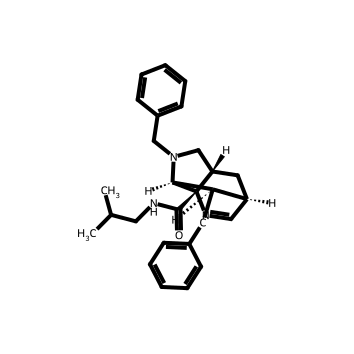 CC(C)CNC(=O)[C@]12N=C[C@@H]3C[C@H]1CN(Cc1ccccc1)[C@H]2[C@@H]3Cc1ccccc1